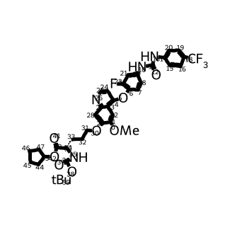 COc1cc2c(Oc3ccc(NC(=O)Nc4ccc(C(F)(F)F)cc4)cc3F)ccnc2cc1OCCC[C@H](NC(=O)OC(C)(C)C)C(=O)OC1CCCC1